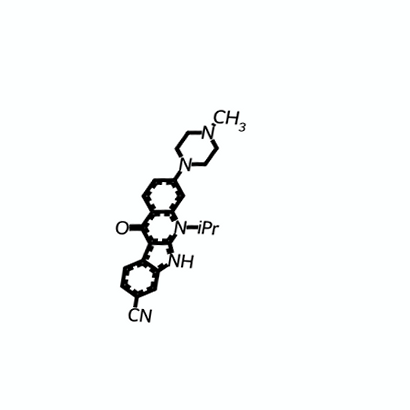 CC(C)n1c2cc(N3CCN(C)CC3)ccc2c(=O)c2c3ccc(C#N)cc3[nH]c21